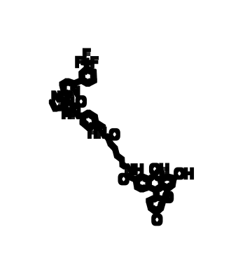 O=C(CCCCCNC(=O)c1ccc(-c2c3ccc(=O)cc-3oc3cc(O)ccc23)c(C(=O)O)c1)NCc1ccc(NC(=O)N2c3nc(-c4cccc(C(F)(F)F)c4)ccc3N3CC[C@H]2C3)cc1